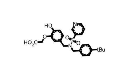 CC(C)(C)c1ccc(CN(Cc2ccc(O)c(OCC(=O)O)c2)S(=O)(=O)c2cccnc2)cc1